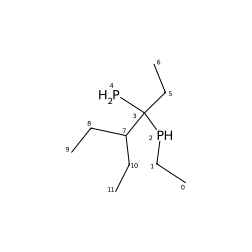 CCPC(P)(CC)C(CC)CC